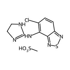 CS(=O)(=O)O.Clc1ccc2nsnc2c1NC1=NCCN1